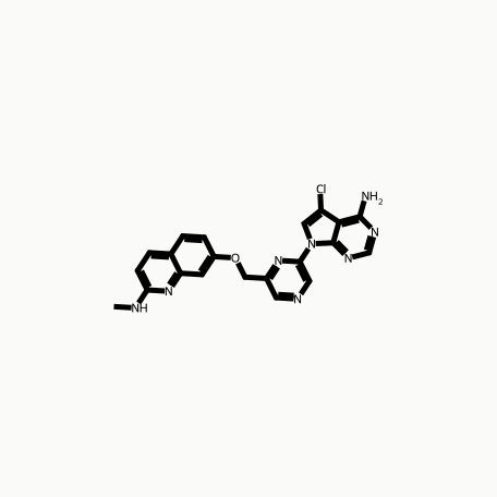 CNc1ccc2ccc(OCc3cncc(-n4cc(Cl)c5c(N)ncnc54)n3)cc2n1